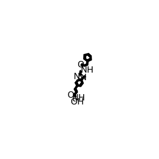 Cn1c(CNC(=O)Cc2ccccc2)nc2cc(/C=C/C(=O)NO)ccc21